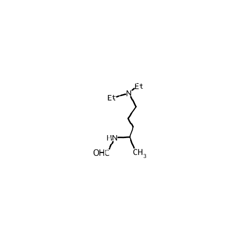 CCN(CC)CCCC(C)NC=O